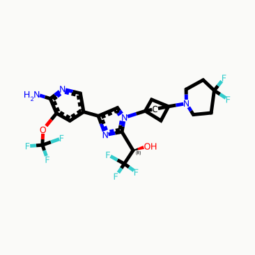 Nc1ncc(-c2cn(C34CC(N5CCC(F)(F)CC5)(C3)C4)c([C@@H](O)C(F)(F)F)n2)cc1OC(F)(F)F